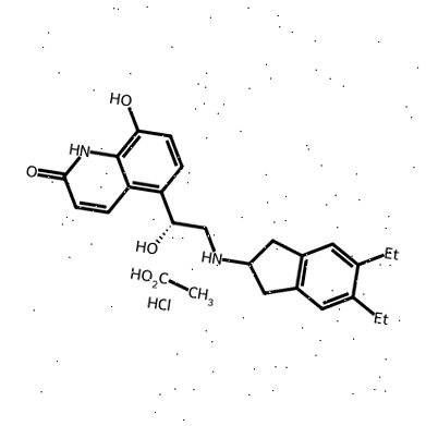 CC(=O)O.CCc1cc2c(cc1CC)CC(NC[C@H](O)c1ccc(O)c3[nH]c(=O)ccc13)C2.Cl